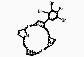 Brc1cc(-c2cc3cc4nc(cc5ccc(cc6nc(cc2[nH]3)C=C6)[nH]5)C=C4)c(Br)c(Br)c1Br